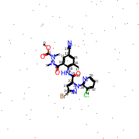 COC(=O)N(C)N(C)C(=O)c1cc(C#N)cc(C)c1NC(=O)c1cc(Br)nn1-c1ncccc1Cl